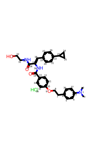 CN(C)c1ccc(CCOc2ccc(C(=O)N/C(=C\c3ccc(C4CC4)cc3)C(=O)NCCO)cc2)cc1.Cl